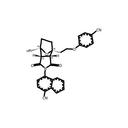 CCC[C@]12CC[C@](CCOc3ccc(C#N)cc3)(O1)[C@@H]1C(=O)N(c3ccc(C#N)c4ccccc34)C(=O)[C@@H]12